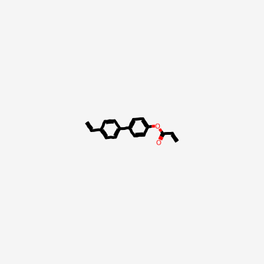 C=CC(=O)Oc1ccc(-c2ccc(C=C)cc2)cc1